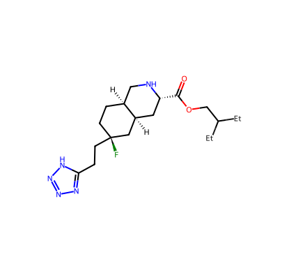 CCC(CC)COC(=O)[C@@H]1C[C@H]2C[C@](F)(CCc3nnn[nH]3)CC[C@H]2CN1